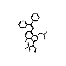 C=CN(c1nn(CC(F)F)c2c(N=C(c3ccccc3)c3ccccc3)ccc(C)c12)S(C)(=O)=O